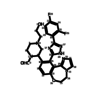 O=CN1CCN(CCO)CC1c1ccc2c(c1-c1nc(-c3ccc(F)cc3F)n[nH]1)-c1nccn1CCO2